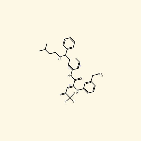 C=C(/C=C(\Nc1cccc(CN)c1)C(=O)NC(/C=C\C)=C/CC(NCCC(C)C)c1ccccc1)C(F)(F)F